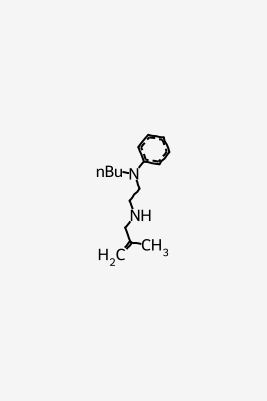 C=C(C)CNCCN(CCCC)c1ccccc1